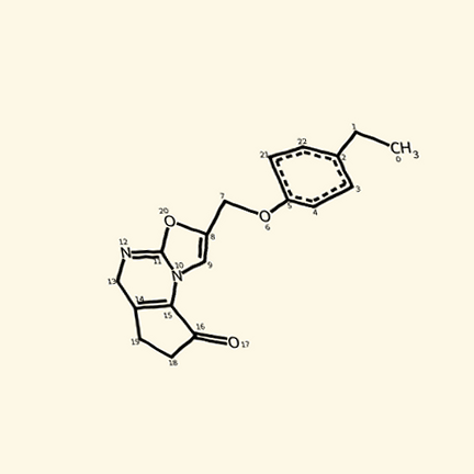 CCc1ccc(OCC2=CN3C(=NCC4=C3C(=O)CC4)O2)cc1